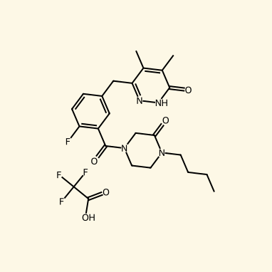 CCCCN1CCN(C(=O)c2cc(Cc3n[nH]c(=O)c(C)c3C)ccc2F)CC1=O.O=C(O)C(F)(F)F